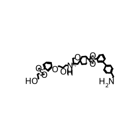 NCc1ccc(-c2cccc(S(=O)(=O)N3CCC4(CC3)C[C@@H](NCC(O)COc3cccc(S(=O)(=O)CCO)c3)CO4)c2)cc1